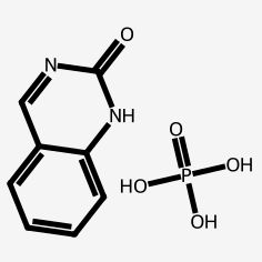 O=P(O)(O)O.O=c1ncc2ccccc2[nH]1